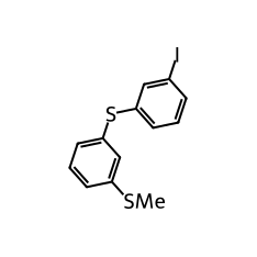 CSc1cccc(Sc2cccc(I)c2)c1